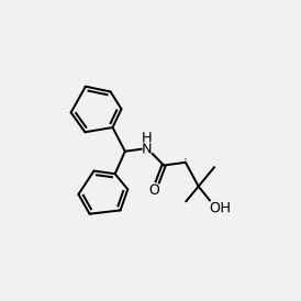 CC(C)(O)[CH]C(=O)NC(c1ccccc1)c1ccccc1